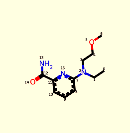 CCN(CCOC)c1cc[c]c(C(N)=O)n1